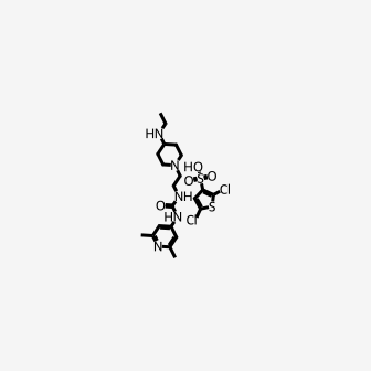 CCNC1CCN(CCNC(=O)Nc2cc(C)nc(C)c2)CC1.O=S(=O)(O)c1cc(Cl)sc1Cl